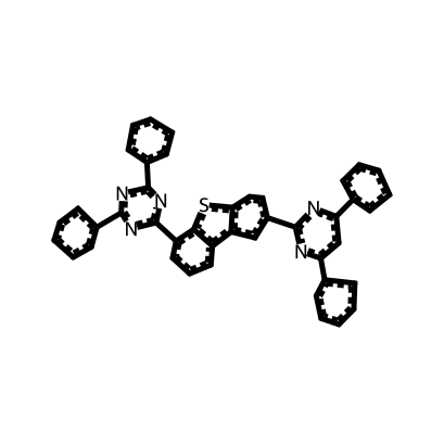 c1ccc(-c2cc(-c3ccccc3)nc(-c3ccc4sc5c(-c6nc(-c7ccccc7)nc(-c7ccccc7)n6)cccc5c4c3)n2)cc1